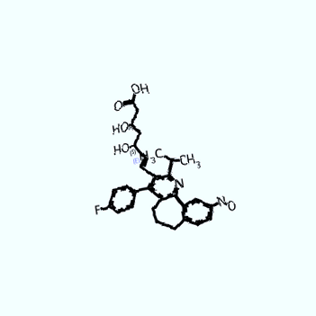 CC(C)c1nc2c(c(-c3ccc(F)cc3)c1/C=C/[C@@H](O)C[C@@H](O)CC(=O)O)CCCc1ccc(N=O)cc1-2